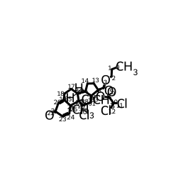 CCCOC(=O)[C@@]1(OC(=O)C(Cl)Cl)CC[C@H]2[C@@H]3CCC4=CC(=O)C=C[C@]4(C)[C@@]3(Cl)[C@@H](Cl)C[C@@]21C